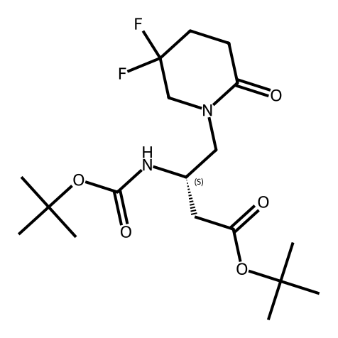 CC(C)(C)OC(=O)C[C@@H](CN1CC(F)(F)CCC1=O)NC(=O)OC(C)(C)C